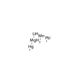 [Hg].[LiH].[MgH2].[Mn].[Pb]